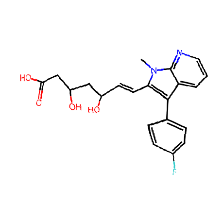 Cn1c(C=CC(O)CC(O)CC(=O)O)c(-c2ccc(F)cc2)c2cccnc21